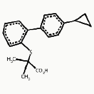 CC(C)(Sc1ccccc1-c1ccc(C2CC2)cc1)C(=O)O